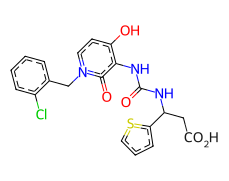 O=C(O)CC(NC(=O)Nc1c(O)ccn(Cc2ccccc2Cl)c1=O)c1cccs1